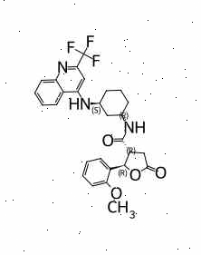 COc1ccccc1[C@@H]1OC(=O)C[C@H]1C(=O)N[C@@H]1CCC[C@H](Nc2cc(C(F)(F)F)nc3ccccc23)C1